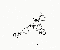 Cc1cccc(Nc2nc3nonc3nc2N/N=C/c2ccc([N+](=O)[O-])cc2)c1